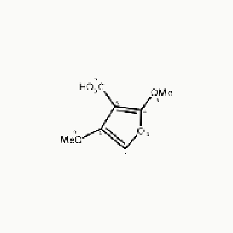 COc1coc(OC)c1C(=O)O